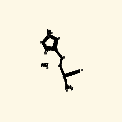 Cl.NC(=S)CCc1c[nH]cn1